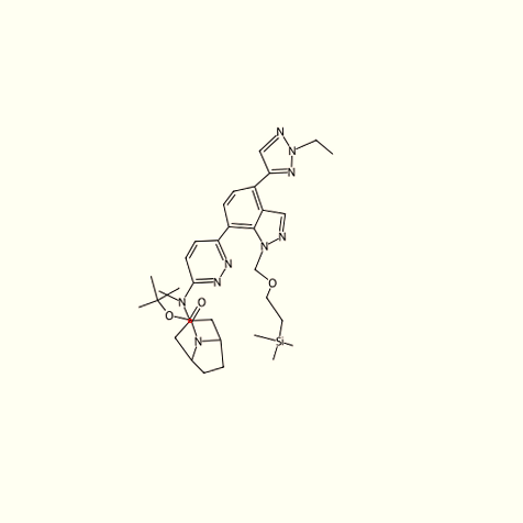 CCn1ncc(-c2ccc(-c3ccc(N(C)C4CC5CCC(C4)N5C(=O)OC(C)(C)C)nn3)c3c2cnn3COCC[Si](C)(C)C)n1